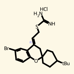 CC(C)(C)C1CCC2(CC1)C/C(=C\CSC(=N)N)c1cc(Br)ccc1O2.Cl